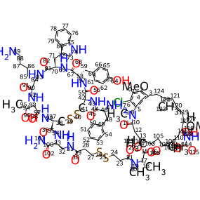 COc1cc2cc(c1Cl)N(C)C(=O)C[C@H](OC(=O)[C@H](C)N(C)C(=O)CCSSCCC(=O)NC[C@H](NC(=O)[C@@H]1CSSC[C@H](NC(=O)[C@H](N)Cc3ccccc3)C(=O)N[C@@H](Cc3ccc(O)cc3)C(=O)N[C@H](Cc3c[nH]c4ccccc34)C(=O)N[C@@H](CCCCN)C(=O)N[C@@H]([C@@H](C)O)C(=O)N1)C(N)=O)[C@@]1(C)CC(C)(O1)[C@@H]1C[C@@](O)(NC(=O)O1)[C@H](OC)/C=C/C=C(\C)C2